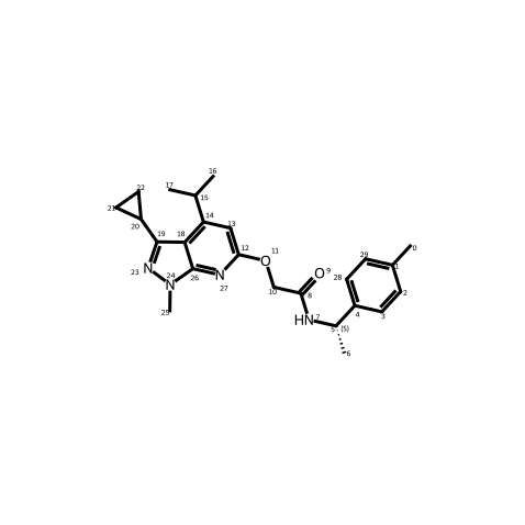 Cc1ccc([C@H](C)NC(=O)COc2cc(C(C)C)c3c(C4CC4)nn(C)c3n2)cc1